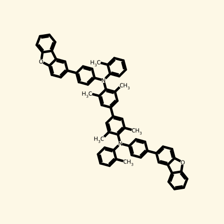 Cc1ccccc1N(c1ccc(-c2ccc3oc4ccccc4c3c2)cc1)c1c(C)cc(-c2cc(C)c(N(c3ccc(-c4ccc5oc6ccccc6c5c4)cc3)c3ccccc3C)c(C)c2)cc1C